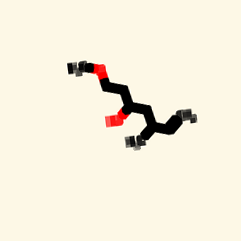 C=CC(C)CC(O)CCOC